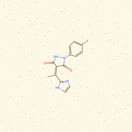 CC(=C1C(=O)NN(c2ccc(I)cc2)C1=O)c1ncc[nH]1